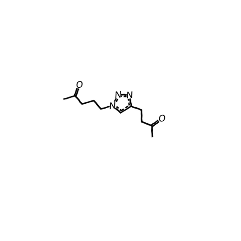 CC(=O)CCCn1cc(CCC(C)=O)nn1